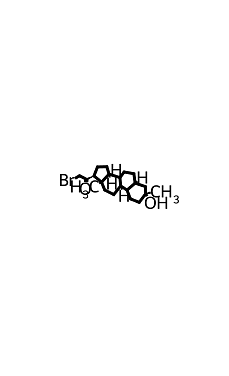 C[C@@]1(O)CCC2[C@H](CC[C@H]3[C@@H]2CC[C@]2(C)[C@@H](C(=O)CBr)CC[C@@H]32)C1